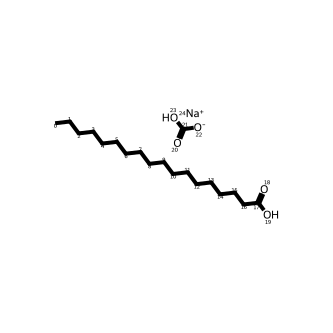 CCCCCCCCCCCCCCCCCC(=O)O.O=C([O-])O.[Na+]